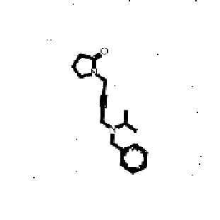 CC(C)N(CC#CCN1CCCC1=O)Cc1ccccc1